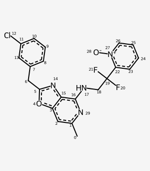 Cc1cc2oc(Cc3cccc(Cl)c3)nc2c(NCC(F)(F)c2cccc[n+]2[O-])n1